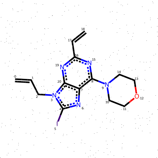 C=CCn1c(I)nc2c(N3CCOCC3)nc(C=C)nc21